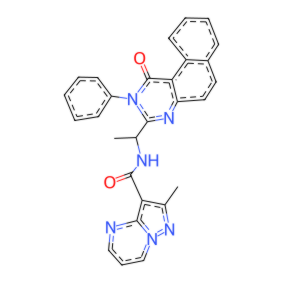 Cc1nn2cccnc2c1C(=O)NC(C)c1nc2ccc3ccccc3c2c(=O)n1-c1ccccc1